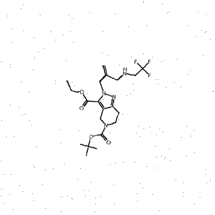 C=C(CNCC(F)(F)F)Cn1nc2c(c1C(=O)OCC)CN(C(=O)OC(C)(C)C)CC2